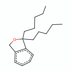 CCCCCC1(CCCCC)OCc2ccccc21